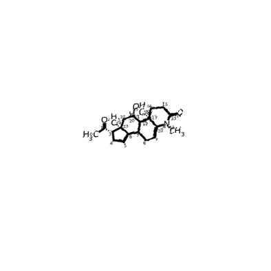 CC(=O)[C@H]1CCC2C3CC=C4N(C)C(=O)CC[C@]4(C)C3[C@@H](O)C[C@@]21C